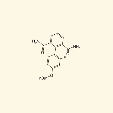 CCCCOc1ccc(-c2c(C(N)=O)cccc2C(N)=O)c(F)c1